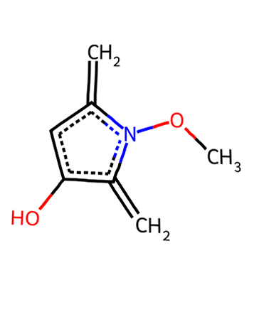 C=c1cc(O)c(=C)n1OC